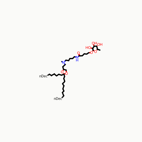 CCCCCCCCCCCCCCCCCCCC1(CCCCCCCCCCCCCCCC)OCC(CCN(C)CCCCCNC(=O)CCCCOC2OC(C)C(O)C(O)C2O)O1